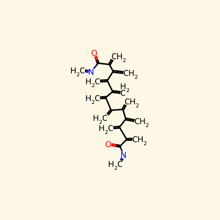 C=NC(=O)C(=C)C(=C)C(=C)C(=C)C(=C)C(=C)C(=C)C(=C)C(=C)C(=C)C(=O)N=C